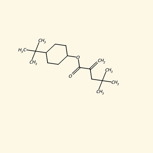 C=C(CC(C)(C)C)C(=O)OC1CCC(C(C)(C)C)CC1